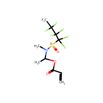 C=CC(=O)OC(C)N(C)S(=O)(=O)C(F)(F)C(F)(F)C(F)(F)C(F)(F)F